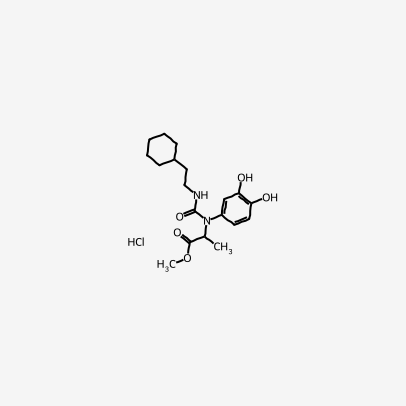 COC(=O)C(C)N(C(=O)NCCC1CCCCC1)c1ccc(O)c(O)c1.Cl